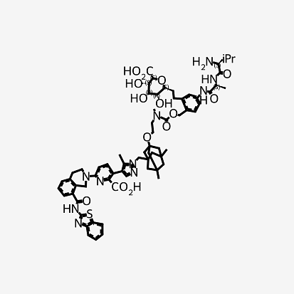 Cc1c(-c2ccc(N3CCc4cccc(C(=O)Nc5nc6ccccc6s5)c4C3)nc2C(=O)O)cnn1CC12CC3(C)CC(C)(C1)CC(OCCN(C)C(=O)OCc1ccc(NC(=O)[C@H](C)NC(=O)[C@@H](N)C(C)C)cc1CC[C@@H]1O[C@H](C(=O)O)[C@@H](O)[C@H](O)[C@H]1O)(C3)C2